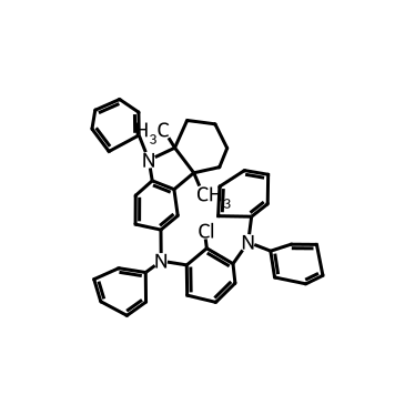 CC12CCCCC1(C)N(c1ccccc1)c1ccc(N(c3ccccc3)c3cccc(N(c4ccccc4)c4ccccc4)c3Cl)cc12